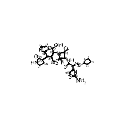 Nc1nc(C(=NOC2CCCC2)C(=O)N[C@@H]2C(=O)N3C(C(=O)O)=C(C(=C4CCNC4=O)c4nccs4)CS[C@H]23)cs1